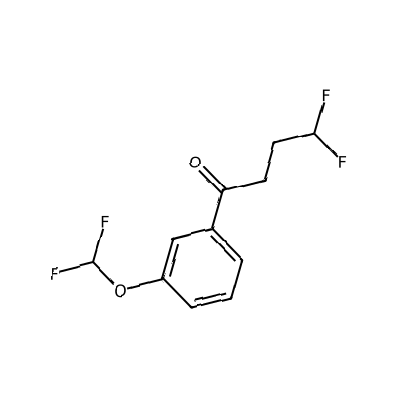 O=C(CCC(F)F)c1cccc(OC(F)F)c1